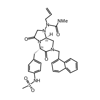 C=CCN(C(=O)NC)N1CC(=O)N2[C@@H](Cc3ccc(NS(C)(=O)=O)cc3)C(=O)N(Cc3cccc4ccccc34)C[C@@H]21